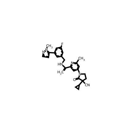 C=C(NCc1cc(F)cc(-c2ccnn2C)c1)c1cc(N2CCC(C#N)(C3CC3)C2=O)cc(C)n1